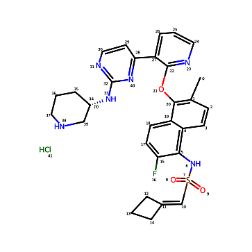 Cc1ccc2c(NS(=O)(=O)C=C3CCC3)c(F)ccc2c1Oc1ncccc1-c1ccnc(N[C@H]2CCCNC2)n1.Cl